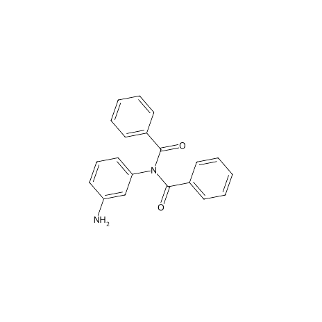 Nc1cccc(N(C(=O)c2ccccc2)C(=O)c2ccccc2)c1